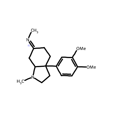 C/N=C1\CCC2(c3ccc(OC)c(OC)c3)CCN(C)C2C1